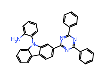 Nc1ccccc1-n1c2ccccc2c2ccc(-c3nc(-c4ccccc4)nc(-c4ccccc4)n3)cc21